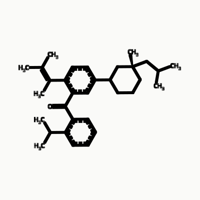 CC(C)=C(C)c1ccc(C2CCC[C@@](C)(CC(C)C)C2)cc1C(=O)c1ccccc1C(C)C